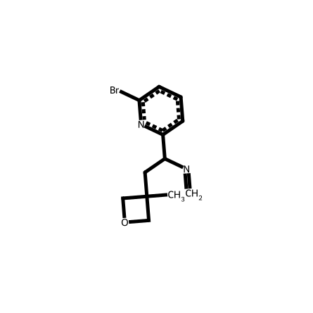 C=NC(CC1(C)COC1)c1cccc(Br)n1